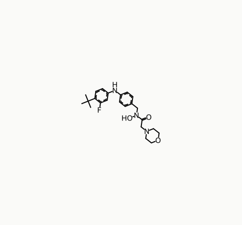 CC(C)(C)c1ccc(Nc2ccc(CN(O)C(=O)CN3CCOCC3)cc2)cc1F